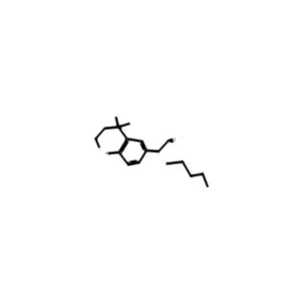 CCCCC[C@@H](C=O)c1ccc2c(c1)C(C)(C)CCO2